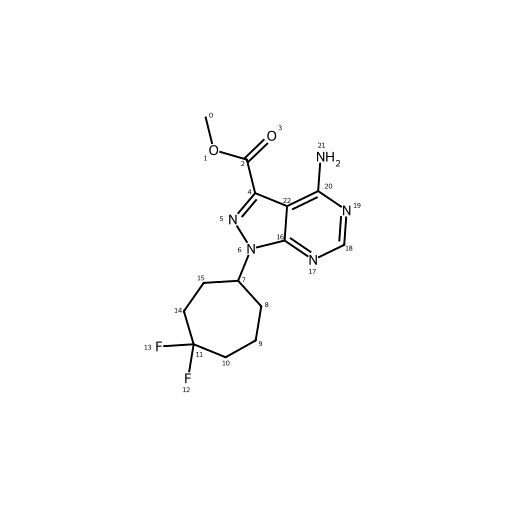 COC(=O)c1nn(C2CCCC(F)(F)CC2)c2ncnc(N)c12